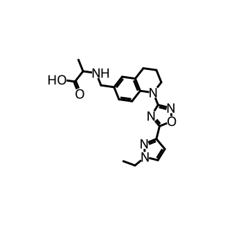 CCn1ccc(-c2nc(N3CCCc4cc(CNC(C)C(=O)O)ccc43)no2)n1